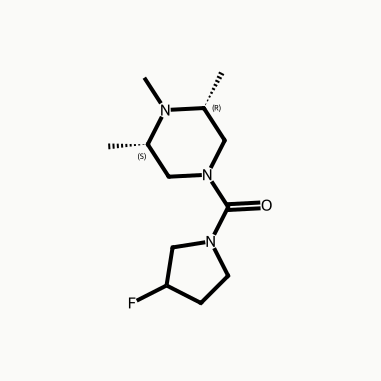 C[C@@H]1CN(C(=O)N2CCC(F)C2)C[C@H](C)N1C